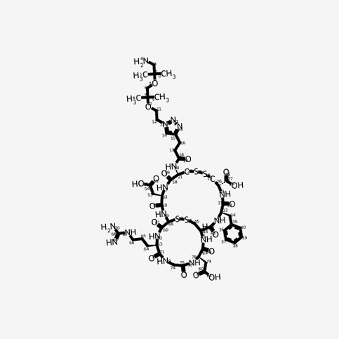 CC(C)(CN)OCC(C)(C)OCCn1cc(CCC(=O)N[C@@H]2CSSC[C@H](C(=O)O)NC(=O)[C@@H](Cc3ccccc3)NC(=O)[C@H]3CSSC(NC(=O)[C@@H](CC(=O)O)NC2=O)C(=O)N[C@H](CCCNC(=N)N)C(=O)NCC(=O)N[C@H](CC(=O)O)C(=O)N3)nn1